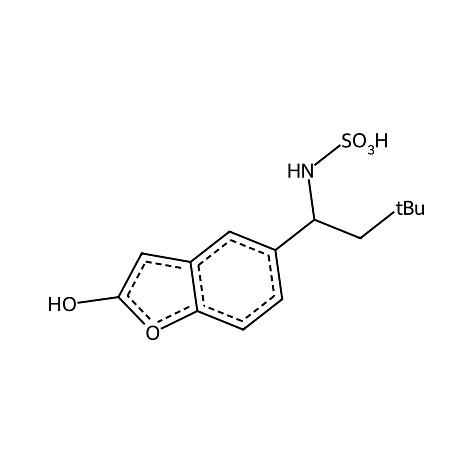 CC(C)(C)CC(NS(=O)(=O)O)c1ccc2oc(O)cc2c1